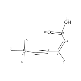 CC(C#C[Si](C)(C)C)=CC(=O)O